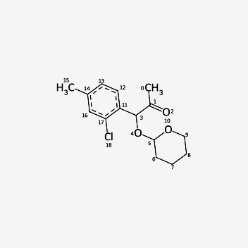 CC(=O)C(OC1CCCCO1)c1ccc(C)cc1Cl